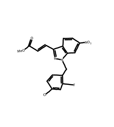 COC(=O)C=Cc1nn(Cc2ccc(Cl)cc2F)c2cc([N+](=O)[O-])ccc12